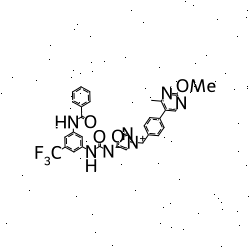 COc1ncc(-c2ccc(C[n+]3cc([N-]C(=O)Nc4cc(NC(=O)c5ccccc5)cc(C(F)(F)F)c4)on3)cc2)c(C)n1